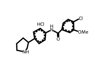 COc1cc(C(=O)Nc2ccc(C3CCCNC3)cc2)ccc1Cl.Cl